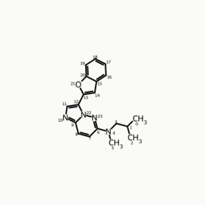 CC(C)CN(C)c1ccc2ncc(-c3cc4ccccc4o3)n2n1